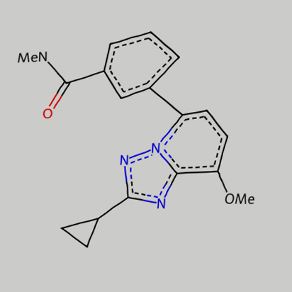 CNC(=O)c1cccc(-c2ccc(OC)c3nc(C4CC4)nn23)c1